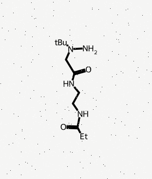 CCC(=O)NCCNC(=O)CN(N)C(C)(C)C